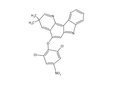 CC1(C)C=Nc2c3c(cc(Oc4c(Cl)cc([N+](=O)[O-])cc4Cl)c2=C1)=Nc1ccccc1-3